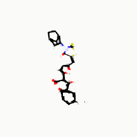 COc1ccc2oc(=O)c(-c3ccc(/C=C4/SC(=S)N(C5CC6CCC5C6)C4=O)o3)c(O)c2c1